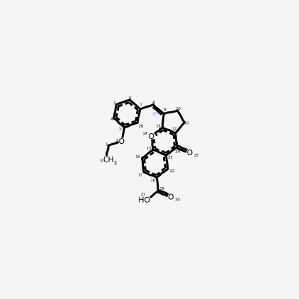 CCOc1cccc(/C=C2/CCc3c2oc2ccc(C(=O)O)cc2c3=O)c1